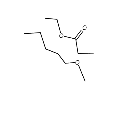 CCCCCOC.CCOC(=O)CC